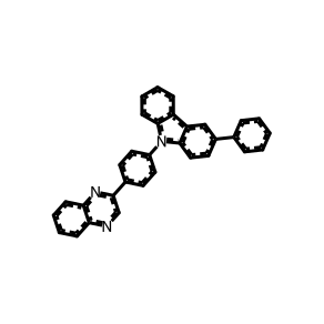 c1ccc(-c2ccc3c(c2)c2ccccc2n3-c2ccc(-c3cnc4ccccc4n3)cc2)cc1